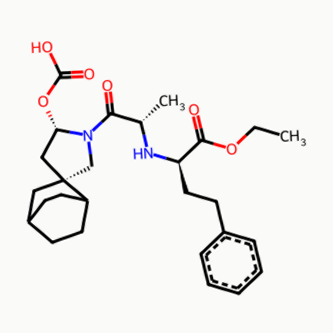 CCOC(=O)[C@@H](CCc1ccccc1)N[C@@H](C)C(=O)N1C[C@]2(CC3CCC2CC3)C[C@@H]1OC(=O)O